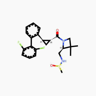 C[S+]([O-])NC[C@H]1N(C(=O)[C@@H]2C[C@H]2c2ccccc2-c2c(F)cccc2F)CC1(C)C